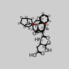 O=C(O)CC(NC(=O)c1nc2ccccc2n(C2CC3CCC(C2)N3C2CCCCCCC2)c1=O)C(=O)O